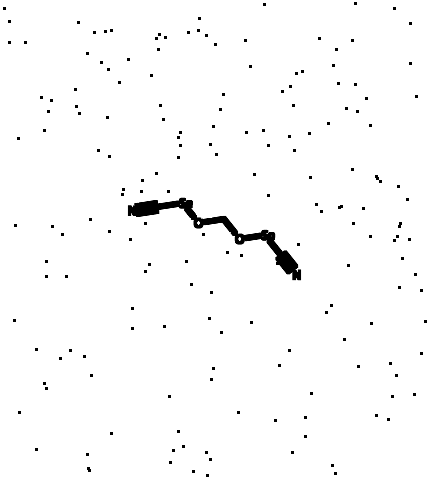 N#C[Se]OCO[Se]C#N